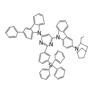 CCC1CC2CCC(C2)N1c1ccc2c(c1)c1ccccc1n2-c1cc(-n2c3ccccc3c3cc(-c4ccccc4)ccc32)nc(-c2cccc([Si](c3ccccc3)(c3ccccc3)c3ccccc3)c2)n1